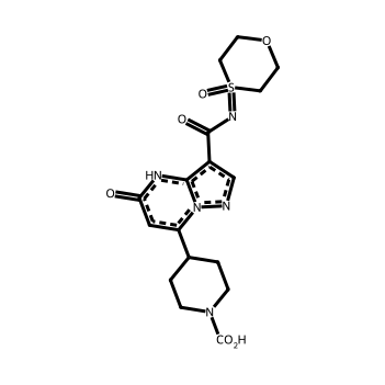 O=C(N=S1(=O)CCOCC1)c1cnn2c(C3CCN(C(=O)O)CC3)cc(=O)[nH]c12